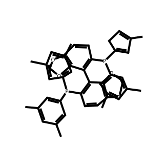 CC1=CCC(P(c2cc(C)cc(C)c2)c2ccc3c(c2-c2c(P(c4cc(C)cc(C)c4)c4cc(C)cc(C)c4)ccc4c2OCO4)OCO3)=C1